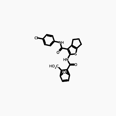 O=C(Nc1ccc(Cl)cc1)c1c(NC(=O)c2c(C(=O)O)c3ccc2o3)sc2c1CCC2